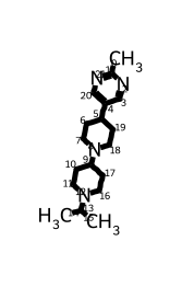 Cc1ncc(C2CCN(C3CCN(C(C)C)CC3)CC2)cn1